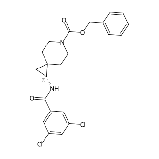 O=C(N[C@@H]1CC12CCN(C(=O)OCc1ccccc1)CC2)c1cc(Cl)cc(Cl)c1